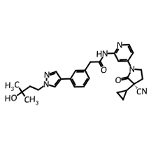 CC(C)(O)CCn1cc(-c2cccc(CC(=O)Nc3cc(N4CC[C@@](C#N)(C5CC5)C4=O)ccn3)c2)cn1